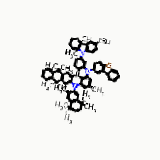 Cc1cc2c3c(c1)N(c1cc4c(cc1C)C(C)(C)CCC4(C)C)c1cc4c(cc1B3c1ccc(N3c5ccc(C(C)(C)C)cc5C5(C)CCCCC35C)cc1N2c1ccc2sc3ccccc3c2c1)C(C)(C)c1ccccc1C4(C)C